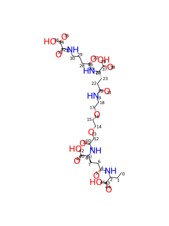 CCC(NC(=O)CC[C@H](NC(=O)COCCOCCNC(=O)CC[C@H](NC(=O)CCCNC(=O)C(=O)O)C(=O)O)C(=O)O)C(=O)O